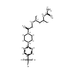 CC(CN(C)OCC(=O)N1CCN(c2ncc(C(F)(F)F)cn2)CC1)OC(N)=O